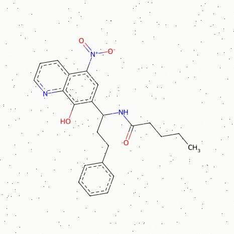 CCCCC(=O)NC(CCc1ccccc1)c1cc([N+](=O)[O-])c2cccnc2c1O